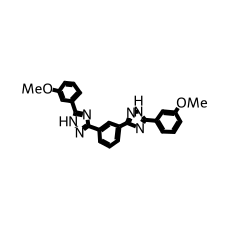 COc1cccc(-c2nc(-c3cccc(-c4n[nH]c(-c5cccc(OC)c5)n4)c3)n[nH]2)c1